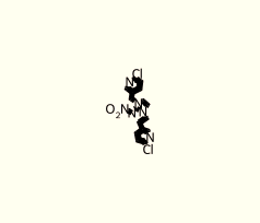 O=[N+]([O-])/N=C1/N(C=Cc2ccc(Cl)nc2)CCN1Cc1ccc(Cl)nc1